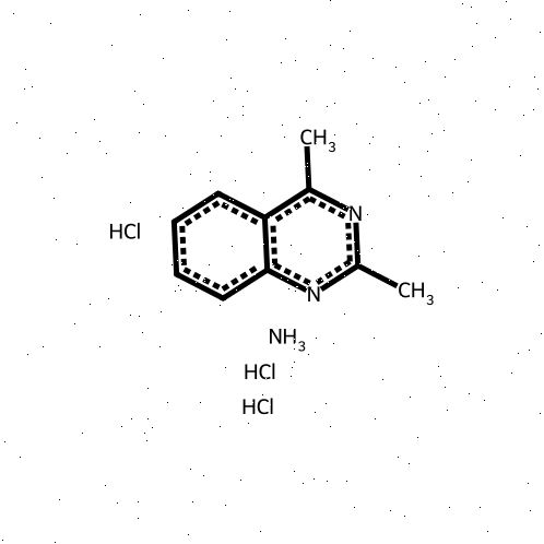 Cc1nc(C)c2ccccc2n1.Cl.Cl.Cl.N